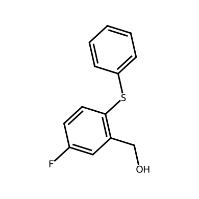 OCc1cc(F)ccc1Sc1ccccc1